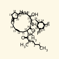 CCCC[C@H](C)C(=O)N(C)C1CC=CCO[C@@H]2CC[C@@H](C2)NC[C@@H](O)[C@H](Cc2cc(F)cc(F)c2)NC1=O